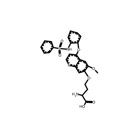 COc1cc2c(Oc3ccccc3NS(=O)(=O)c3ccccc3)ccnc2cc1OCCC(N)C(=O)O